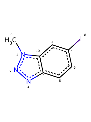 Cn1nnc2ccc(I)cc21